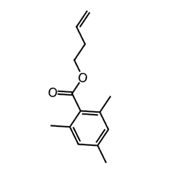 C=CCCOC(=O)c1c(C)cc(C)cc1C